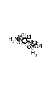 CC(O)(C(=O)Nc1ccc(S(N)(=O)=O)c(Cl)c1Cl)C(F)(F)F